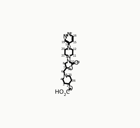 O=C(O)OC1CCN(CC2CN(N3CCN(c4ccnnc4)CC3)C(=O)O2)CC1